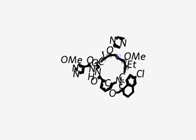 CC[C@@H]1CCN2C[C@@]3(CCCc4cc(Cl)ccc43)COc3ccc(cc32)C(=O)N=S(=O)(NC(=O)c2cn(C)nc2OC)C[C@@H](C)[C@@H](Oc2cnccn2)/C=C/[C@@H]1OC